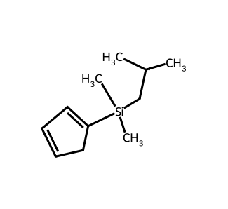 C[C](C)C[Si](C)(C)C1=CC=CC1